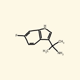 CC(C)(N)c1c[nH]c2cc(F)ccc12